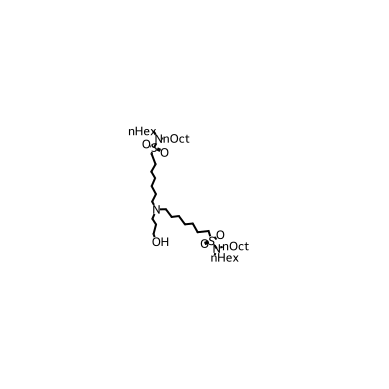 CCCCCCCCN(CCCCCC)S(=O)(=O)CCCCCCCN(CCCO)CCCCCCCS(=O)(=O)N(CCCCCC)CCCCCCCC